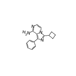 Nc1nccn2c(C3CCC3)nc(-c3ccccc3)c12